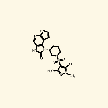 Cc1nn(C)c(Cl)c1S(=O)(=O)N1CCC[C@@H](n2c(=O)[nH]c3cnc4[nH]ccc4c32)C1